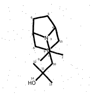 CC(C)N1C2CCC1CN(CC(C)(C)O)C2